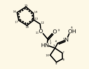 O=C(NC1(C=NO)CCCC1)OCc1ccccc1